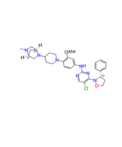 COc1cc(Nc2ncc(Cl)c(N3OCC[C@H]3c3ccccc3)n2)ccc1N1CCC(N2C[C@@H]3C[C@H]2CN3C)CC1